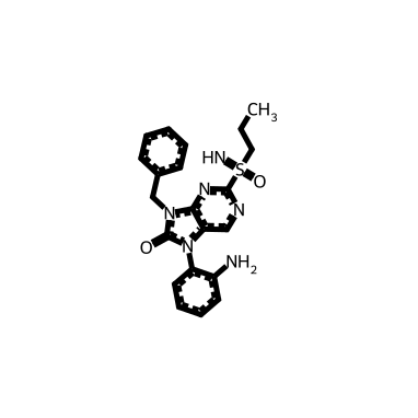 CCCS(=N)(=O)c1ncc2c(n1)n(Cc1ccccc1)c(=O)n2-c1ccccc1N